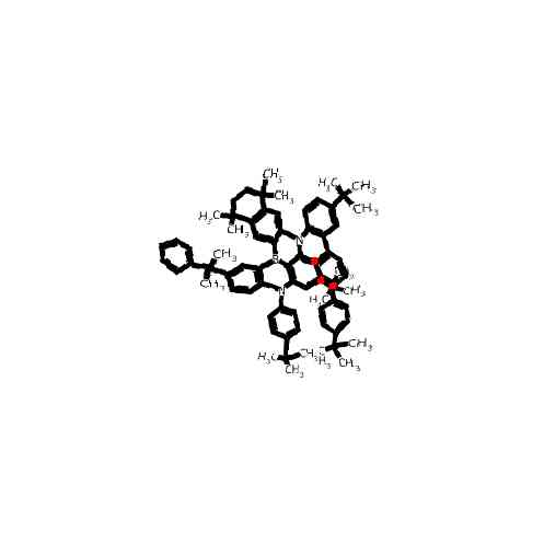 CC(C)(C)c1ccc(-c2ccc(-c3cc(C(C)(C)C)ccc3N3c4cc5c(cc4B4c6cc(C(C)(C)c7ccccc7)ccc6N(c6ccc(C(C)(C)C)cc6)c6cc(C(C)(C)C)cc3c64)C(C)(C)CCC5(C)C)cc2)cc1